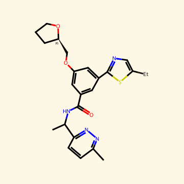 CCc1cnc(-c2cc(OC[C@H]3CCCO3)cc(C(=O)NC(C)c3ccc(C)nn3)c2)s1